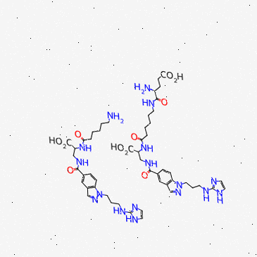 NCCCCCC(=O)NC(CNC(=O)c1ccc2c(cnn2CCCNc2ncc[nH]2)c1)C(=O)O.N[C@@H](CCC(=O)O)C(=O)NCCCCCC(=O)NC(CNC(=O)c1ccc2c(cnn2CCCNc2ncc[nH]2)c1)C(=O)O